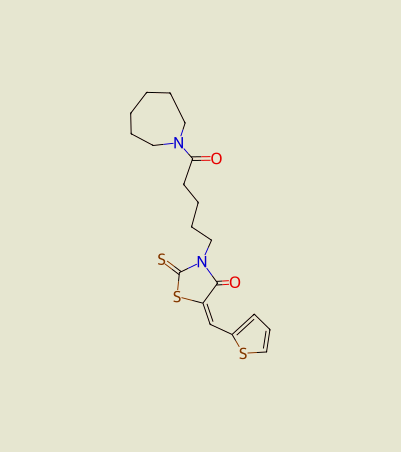 O=C(CCCCN1C(=O)/C(=C\c2cccs2)SC1=S)N1CCCCCC1